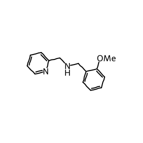 COc1ccccc1CNCc1ccccn1